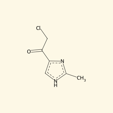 Cc1nc(C(=O)CCl)c[nH]1